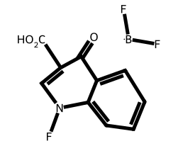 F[B]F.O=C(O)c1cn(F)c2ccccc2c1=O